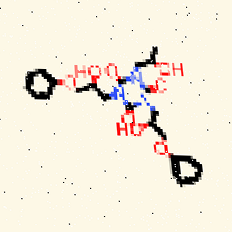 CC(O)Cn1c(=O)n(CC(O)COc2ccccc2)c(=O)n(CC(O)COc2ccccc2)c1=O